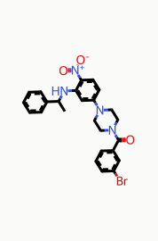 CC(Nc1cc(N2CCN(C(=O)c3cccc(Br)c3)CC2)ccc1[N+](=O)[O-])c1ccccc1